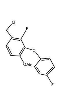 COc1ccc(CCl)c(F)c1Oc1ccc(F)cc1